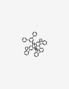 c1ccc(-c2cc(-c3ccccc3)cc(N3c4cc5oc6ccccc6c5cc4B4c5c3cc3oc6ccccc6c3c5-c3cccc5c6ccccc6n4c35)c2)cc1